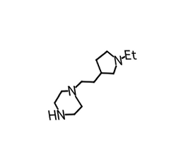 CCN1CCC(CCN2CCNCC2)C1